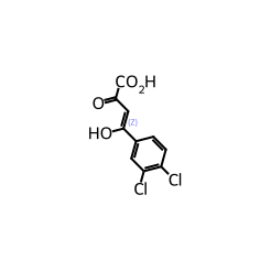 O=C(O)C(=O)/C=C(\O)c1ccc(Cl)c(Cl)c1